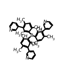 Cc1cc(C)c(-c2cccnc2)c(C)c1B(c1c(C)cc(C)c(-c2cccnc2)c1C)c1c(C)cc(C)c(-c2cccnc2)c1C